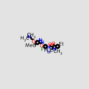 CCc1ccc2c(c1)c(=O)c(C(=O)Nc1ccc(Oc3ncnc4cc(OCCCN(C)C)c(OC)cc34)c(F)c1)c(C)n2C